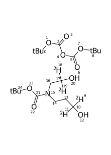 CC(C)(C)OC(=O)OC(=O)OC(C)(C)C.[2H]C([2H])(O)CCN(CC([2H])([2H])O)C(=O)OC(C)(C)C